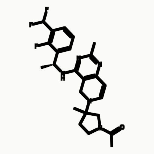 CC(=O)N1CCC(C)(N2C=Cc3nc(C)nc(N[C@H](C)c4cccc(C(F)F)c4F)c3C2)C1